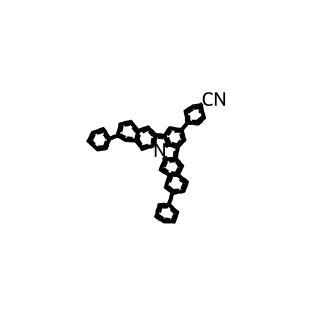 N#Cc1ccc(-c2cc3c4cc5ccc(-c6ccccc6)cc5cc4n4c5cc6cc(-c7ccccc7)ccc6cc5c(c2)c34)cc1